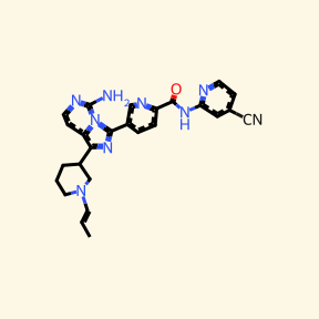 CC=CN1CCCC(c2nc(-c3ccc(C(=O)Nc4cc(C#N)ccn4)nc3)n3c(N)nccc23)C1